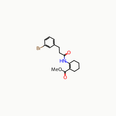 COC(=O)C1=C(NC(=O)CCc2cccc(Br)c2)CCCC1